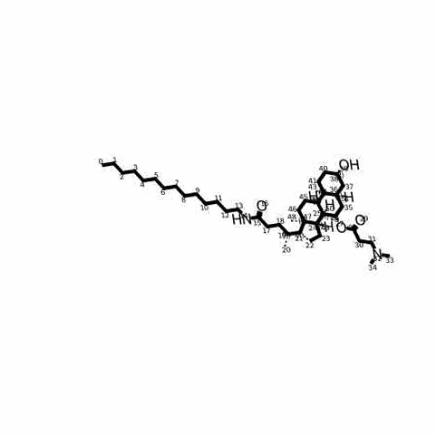 CCCCCCCCCCCCCCNC(=O)CC[C@@H](C)[C@H]1CC[C@H]2[C@@H]3[C@@H](OC(=O)CCN(C)C)C[C@@H]4C[C@H](O)CC[C@]4(C)[C@H]3CC[C@]12C